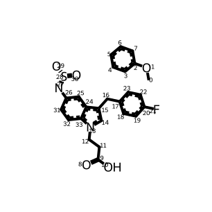 COc1ccccc1.O=C(O)CCn1cc(Cc2ccc(F)cc2)c2cc(N=S(=O)=O)ccc21